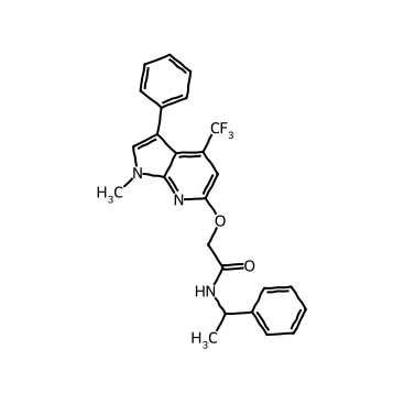 CC(NC(=O)COc1cc(C(F)(F)F)c2c(-c3ccccc3)cn(C)c2n1)c1ccccc1